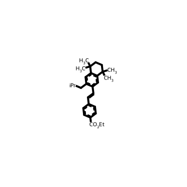 CCOC(=O)c1ccc(C=Cc2cc3c(cc2CC(C)C)C(C)(C)CCC3(C)C)cc1